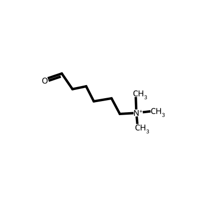 C[N+](C)(C)CCCCCC=O